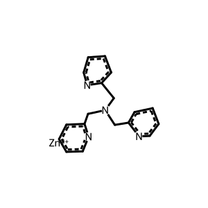 [Zn+2].c1ccc(CN(Cc2ccccn2)Cc2ccccn2)nc1